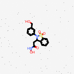 O=C(CC1c2ccccc2S(=O)(=O)N1c1cccc(CO)c1)NO